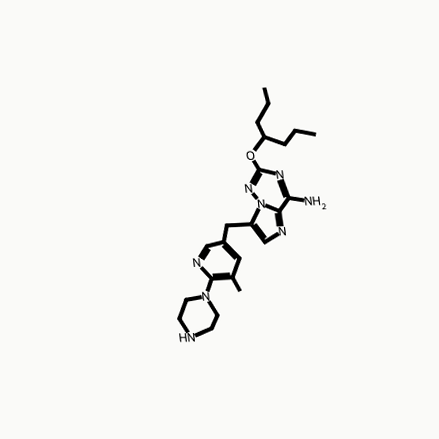 CCCC(CCC)Oc1nc(N)c2ncc(Cc3cnc(N4CCNCC4)c(C)c3)n2n1